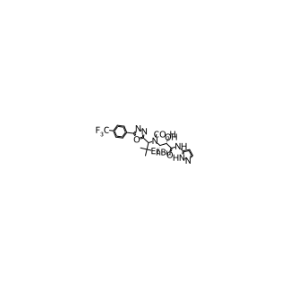 CCCC[C@@H]([C@H](O)C(=O)Nc1ccn[nH]1)N(C(=O)O)C(c1nnc(-c2ccc(C(F)(F)F)cc2)o1)C(C)(C)CC